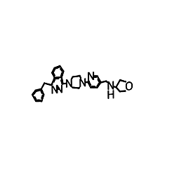 c1ccc(Cc2nnc(N3CCN(c4ccc(CNC5CCOCC5)cn4)CC3)c3ccccc23)cc1